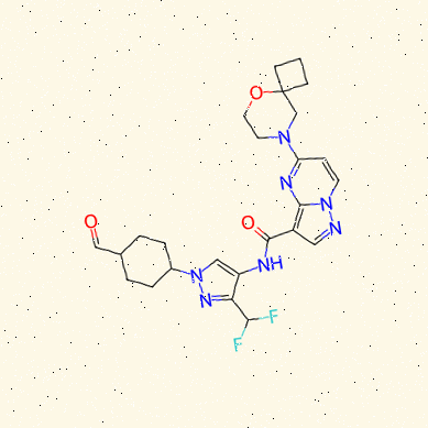 O=CC1CCC(n2cc(NC(=O)c3cnn4ccc(N5CCOC6(CCC6)C5)nc34)c(C(F)F)n2)CC1